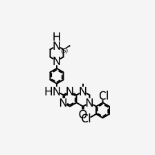 C[C@H]1CN(c2ccc(Nc3ncc4c(n3)N(C)CN(c3c(Cl)cccc3Cl)C4=O)cc2)CCN1